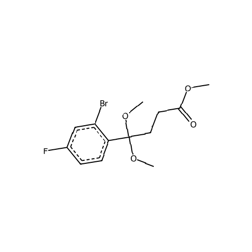 COC(=O)CCC(OC)(OC)c1ccc(F)cc1Br